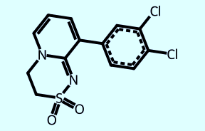 O=S1(=O)CCN2C=CC=C(c3ccc(Cl)c(Cl)c3)C2=N1